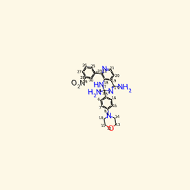 NC1=NC(N)(c2ccc(N3CCOCC3)cc2)Nc2c1ccnc2-c1cccc([N+](=O)[O-])c1